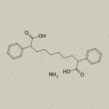 N.O=C(O)C(CCCCCCC(C(=O)O)c1ccccc1)c1ccccc1